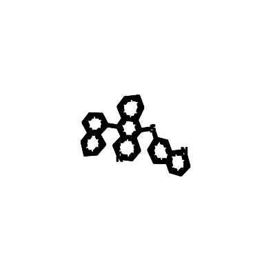 c1cnc2cc(Sc3c4ccccc4c(-c4cccc5ccccc45)c4cnccc34)ccc2c1